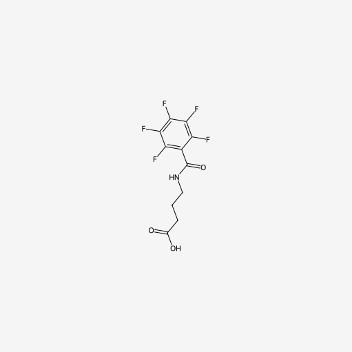 O=C(O)CCCNC(=O)c1c(F)c(F)c(F)c(F)c1F